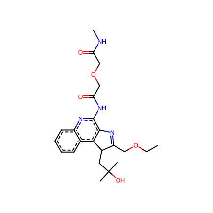 CCOCC1=Nc2c(NC(=O)COCC(=O)NC)nc3ccccc3c2C1CC(C)(C)O